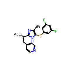 CC(=O)OC(Cc1ccncc1)c1nc(C(C)C)c(Sc2cc(F)cc(F)c2)[nH]1